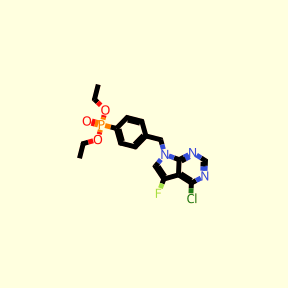 CCOP(=O)(OCC)c1ccc(Cn2cc(F)c3c(Cl)ncnc32)cc1